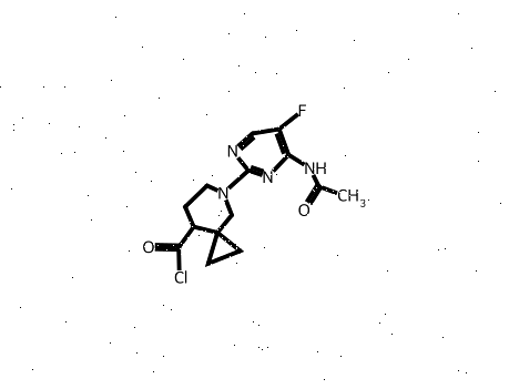 CC(=O)Nc1nc(N2CCC(C(=O)Cl)C3(CC3)C2)ncc1F